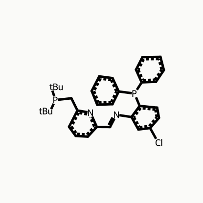 CC(C)(C)P(Cc1cccc(C=Nc2cc(Cl)ccc2P(c2ccccc2)c2ccccc2)n1)C(C)(C)C